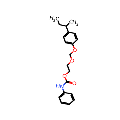 CCC(C)c1ccc(OCOCCOC(=O)Nc2ccccc2)cc1